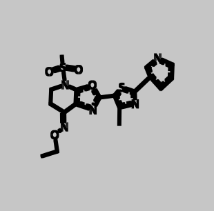 CCO/N=C1\CCN(S(C)(=O)=O)c2oc(-c3sc(-c4cccnc4)nc3C)nc21